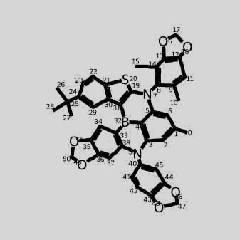 Cc1cc2c3c(c1)N(c1c(C)cc4c(c1C)OCO4)c1sc4ccc(C(C)(C)C)cc4c1B3c1cc3c(cc1N2c1ccc2c(c1)OCO2)OCO3